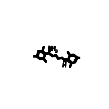 Cc1cc(C)c(NCCCCC(N)c2c(C)cc(C)cc2C)c(C)c1